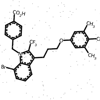 Cc1cc(OCCCc2c(C(F)(F)F)n(Cc3ccc(C(=O)O)cc3)c3c(Br)cccc23)cc(C)c1Cl